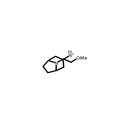 COCCN1C2CCC1CC(N)C2